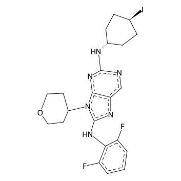 Fc1cccc(F)c1Nc1nc2cnc(N[C@H]3CC[C@H](I)CC3)nc2n1C1CCOCC1